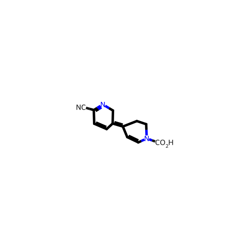 N#CC1=NCC(=C2C=CN(C(=O)O)CC2)C=C1